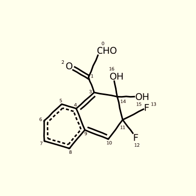 O=CC(=O)C1=c2ccccc2=CC(F)(F)C1(O)O